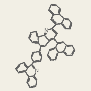 c1ccc2c(c1)cc(-c1cc(-c3cc4ccccc4c4ccccc34)c3cc(-c4ccc(-c5nc6ccccc6c6ccccc56)cc4)c4ccccc4c3n1)c1ccccc12